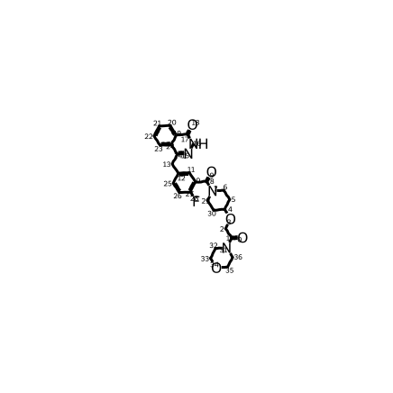 O=C(COC1CCN(C(=O)c2cc(Cc3n[nH]c(=O)c4ccccc34)ccc2F)CC1)N1CCOCC1